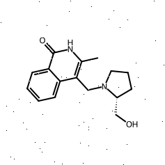 Cc1[nH]c(=O)c2ccccc2c1CN1CCC[C@@H]1CO